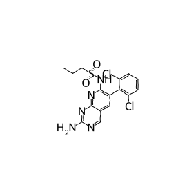 CCCS(=O)(=O)Nc1nc2nc(N)ncc2cc1-c1c(Cl)cccc1Cl